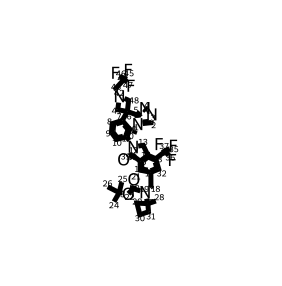 Cn1cnnc1C1(c2cccc(N3Cc4c(cc(CN(C(=O)OC(C)(C)C)C5(C)CCC5)cc4C(F)(F)F)C3=O)c2)CN(CC(F)(F)F)C1